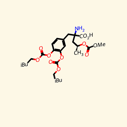 CCC(C)COC(=O)Oc1ccc(CC(N)(C[C@H](C)OC(=O)OC)C(=O)O)cc1OC(=O)OCC(C)CC